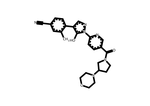 Cc1cc(C#N)ccc1-c1cnn(-c2ccc(C(=O)N3CCC(N4CCOCC4)C3)cn2)c1O